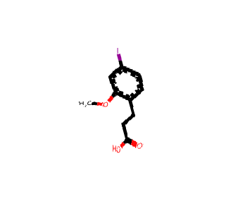 COc1cc(I)ccc1CCC(=O)O